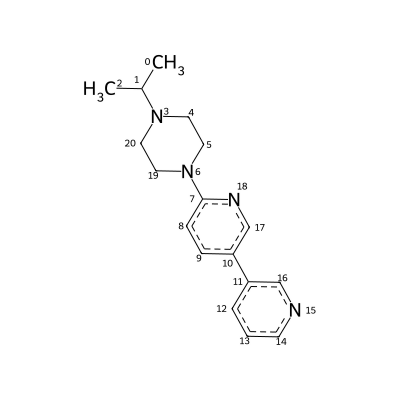 CC(C)N1CCN(c2ccc(-c3cccnc3)cn2)CC1